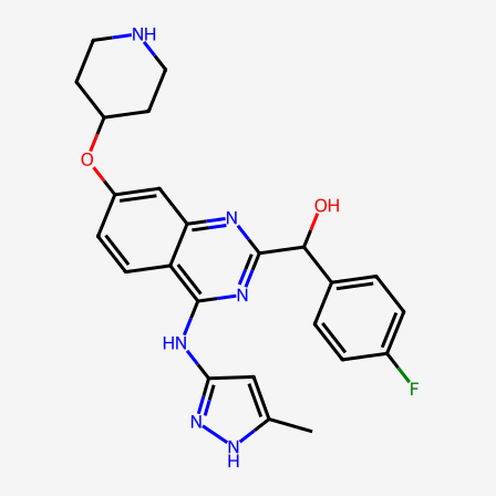 Cc1cc(Nc2nc(C(O)c3ccc(F)cc3)nc3cc(OC4CCNCC4)ccc23)n[nH]1